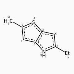 CCc1cc2sc(C)cc2[nH]1